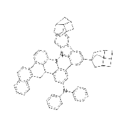 c1ccc(N(c2ccccc2)c2cc3c4c(c2)C2Cc5c(ccc6ccccc56)-c5cccc(c52)B4n2c4ccc(C56C7CCC5CC6C7)cc4c4cc(C56CC7CC8CC(C5)C87C6)cc-3c42)cc1